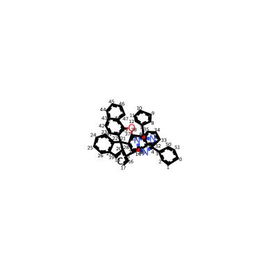 c1ccc(-c2nc(-c3ccccc3)nc(-c3cccc4c3C3(c5ccccc5-4)c4ccc5ccccc5c4Oc4c3ccc3ccccc43)n2)cc1